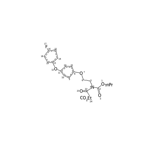 CCCOC(=O)N(CCOc1ccc(Oc2ccc(F)cc2)cc1)C(=O)C(=O)OCC